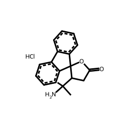 CC(C)(N)C1CC(=O)OC12c1ccccc1-c1ccccc12.Cl